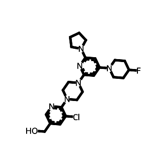 OCc1cnc(N2CCN(c3cc(N4CCC(F)CC4)cc(N4CCCC4)n3)CC2)c(Cl)c1